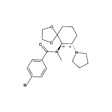 CN(C(=O)c1ccc(Br)cc1)[C@@H]1[C@@H](N2CCCC2)CCCC12OCCO2